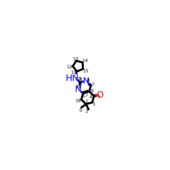 CC1(C)CC(=O)c2cnc(NC3CCCC3)nc2C1